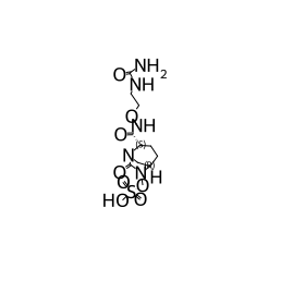 NC(=O)NCCONC(=O)[C@@H]1CC[C@@H]2CN1C(=O)N2OS(=O)(=O)O